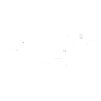 CC(C)N1CCCC[C@@H]1COc1ccc2c(c1)CN(C1CCC(=O)NC1=O)C2=O